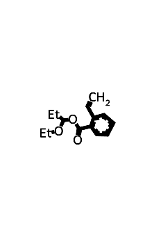 C=Cc1ccccc1C(=O)OC(CC)OCC